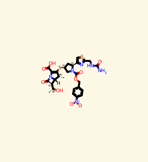 C[C@@H](O)[C@H]1C(=O)N2C(C(=O)O)=C(S[C@H]3C[C@@H](c4csc(CNC(N)=O)n4)N(C(=O)OCc4ccc([N+](=O)[O-])cc4)C3)[C@H](C)[C@H]12